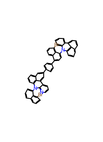 Brc1cccc2cccc(N3c4ncccc4-c4cc(-c5ccc(-c6ccc(N7c8ccccc8-c8cccc9cccc7c89)c7c(Br)cccc67)cc5)cc5cccc3c45)c12